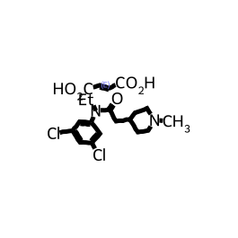 CCN(C(=O)CC1CCN(C)CC1)c1cc(Cl)cc(Cl)c1.O=C(O)/C=C/C(=O)O